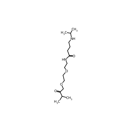 CC(C)NCCCC(=O)NCCOCCOCC(=O)C(C)C